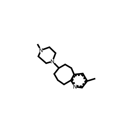 Cc1cnc2c(c1)CCC(N1CCN(C)CC1)CCC2